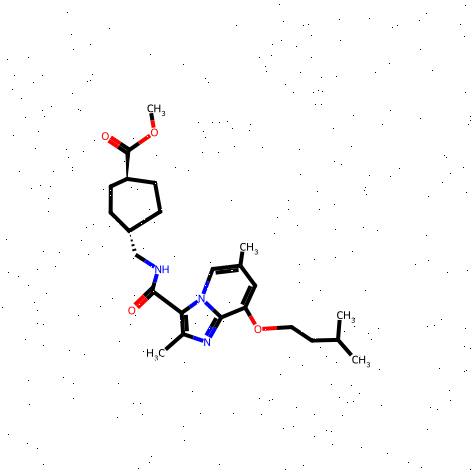 COC(=O)[C@H]1CC[C@H](CNC(=O)c2c(C)nc3c(OCCC(C)C)cc(C)cn23)CC1